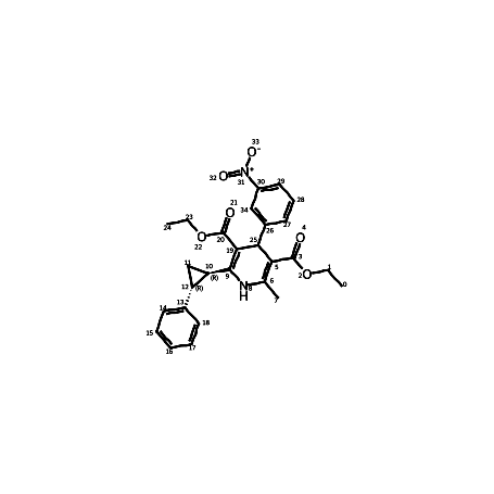 CCOC(=O)C1=C(C)NC([C@@H]2C[C@H]2c2ccccc2)=C(C(=O)OCC)C1c1cccc([N+](=O)[O-])c1